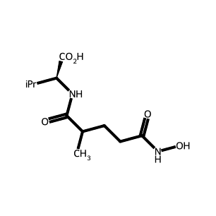 CC(CCC(=O)NO)C(=O)N[C@H](C(=O)O)C(C)C